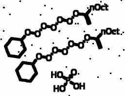 C=C(CCCCCCCC)OOOOOOOC1CCCCC1.C=C(CCCCCCCC)OOOOOOOC1CCCCC1.O=P(O)(O)O